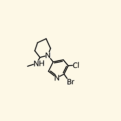 CNC1CCCCN1c1cnc(Br)c(Cl)c1